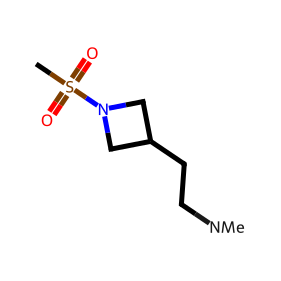 CNCCC1CN(S(C)(=O)=O)C1